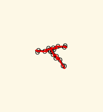 C=CC(=O)OCCCCCCOc1ccc(C(=O)Oc2ccc(OCCOC(=O)c3cc(OC(=O)c4ccc(OCCCCCCOC(=O)C=C)cc4)ccc3OC(=O)c3ccc(OCCCCCCOC(=O)C=C)cc3)cc2)cc1